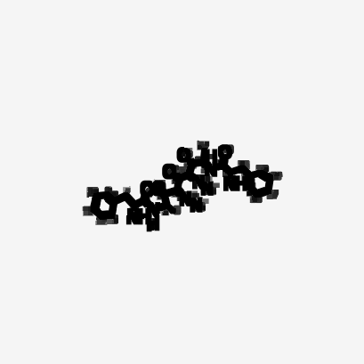 C[C@@H](NC(=O)[C@@H](N)Cc1ccccc1)C(=O)C(=[N+]=[N-])C(=O)C(=[N+]=[N-])C(=O)[C@@H](C)NC(=O)[C@@H](N)Cc1ccccc1